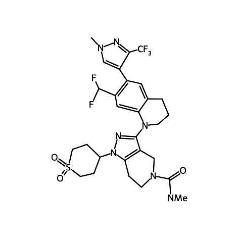 CNC(=O)N1CCc2c(c(N3CCCc4cc(-c5cn(C)nc5C(F)(F)F)c(C(F)F)cc43)nn2C2CCS(=O)(=O)CC2)C1